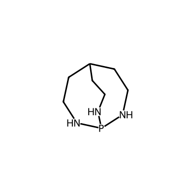 C1CC2CCNP(N1)NCC2